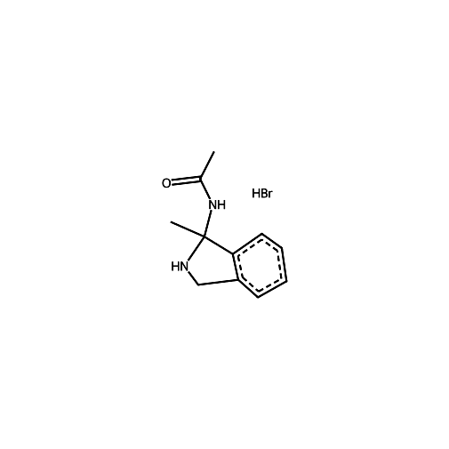 Br.CC(=O)NC1(C)NCc2ccccc21